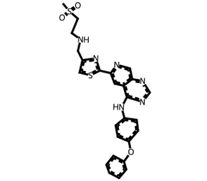 CS(=O)(=O)CCNCc1csc(-c2cc3c(Nc4ccc(Oc5ccccc5)cc4)ncnc3cn2)n1